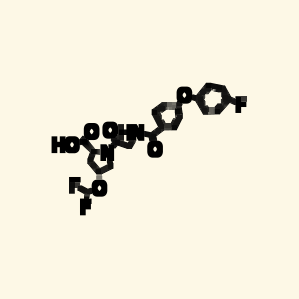 O=C(NCC(=O)N1C[C@H](OC(F)F)C[C@H]1C(=O)O)c1ccc(Oc2ccc(F)cc2)cc1